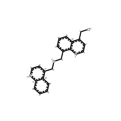 ClCc1ccnc2c(COCc3ccnc4ccccc34)cccc12